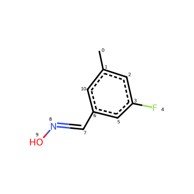 Cc1cc(F)cc(C=NO)c1